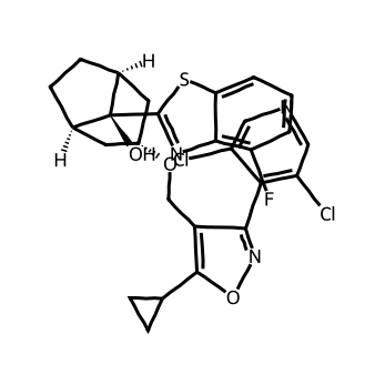 O[C@@]1(c2nc3c(F)cccc3s2)[C@@H]2CC[C@H]1C[C@H](OCc1c(-c3c(Cl)cncc3Cl)noc1C1CC1)C2